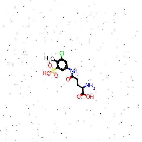 Cc1c(Cl)cc(NC(=O)CCC(N)C(=O)O)cc1S(=O)(=O)O